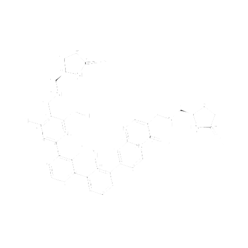 COc1nc(-c2cccc(-c3cccc(-c4ccn5c(=O)c(CNC[C@H]6CCC(=O)N6)cnc5c4)c3Cl)c2Cl)cc(Cl)c1CNC[C@H]1CCC(=O)N1